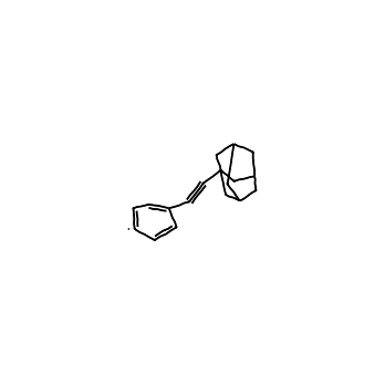 C(#CC12CC3CC(CC(C3)C1)C2)c1cc[c]cc1